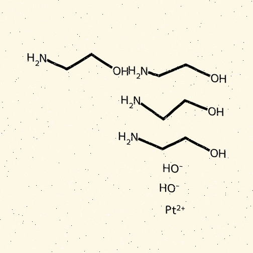 NCCO.NCCO.NCCO.NCCO.[OH-].[OH-].[Pt+2]